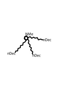 CCCCCCCCCCCCCCCCCCc1ccc(NC)c(CCCCCCCCCCCCCCCCCC)c1CCCCCCCCCCCCCCCCCC